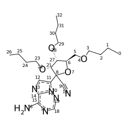 CCCCOC[C@H]1OC(C#N)(c2cnc3c(N)ncnn23)[C@H](OCCCC)[C@@H]1OCCCC